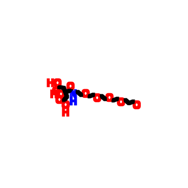 O=CCCOCCOCCOCCOCCNC(=O)C(O)(CC(=O)O)CC(=O)O